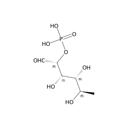 C[C@@H](O)[C@@H](O)[C@H](O)[C@H](C=O)OP(=O)(O)O